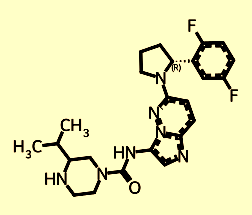 CC(C)C1CN(C(=O)Nc2cnc3ccc(N4CCC[C@@H]4c4cc(F)ccc4F)nn23)CCN1